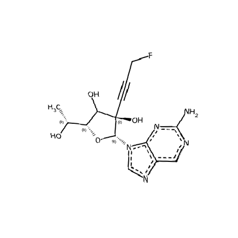 C[C@@H](O)[C@H]1O[C@@H](n2cnc3cnc(N)nc32)[C@@](O)(C#CCF)C1O